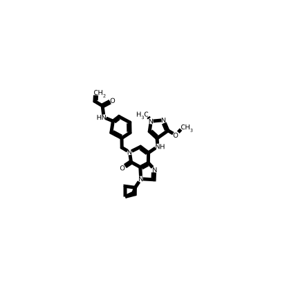 C=CC(=O)Nc1cccc(Cn2cc(Nc3cn(C)nc3OC)c3ncn(C45CC(C4)C5)c3c2=O)c1